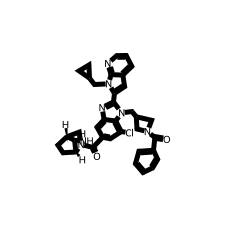 N[C@@H]1[C@@H]2CC[C@H]1N(C(=O)c1cc(Cl)c3c(c1)nc(-c1cc4cccnc4n1CC1CC1)n3CC1CN(C(=O)c3ccccc3)C1)C2